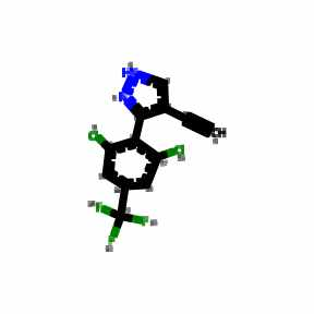 C#Cc1c[nH]nc1-c1c(Cl)cc(C(F)(F)F)cc1Cl